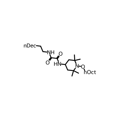 CCCCCCCCCCCCNC(=O)C(=O)NC1CC(C)(C)N(OCCCCCCCC)C(C)(C)C1